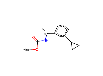 C[C@@H](NC(=O)OC(C)(C)C)c1cccc(C2CC2)c1